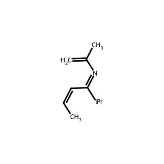 C=C(C)/N=C(\C=C/C)C(C)C